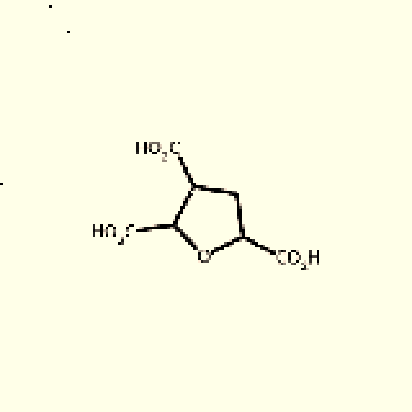 O=C(O)C1CC(C(=O)O)C(C(=O)O)O1